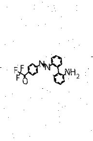 Nc1ccccc1-c1ccccc1N=Nc1ccc(C(=O)C(F)(F)F)cc1